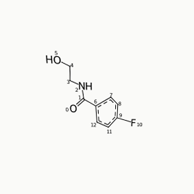 O=C(NCCO)c1ccc(F)cc1